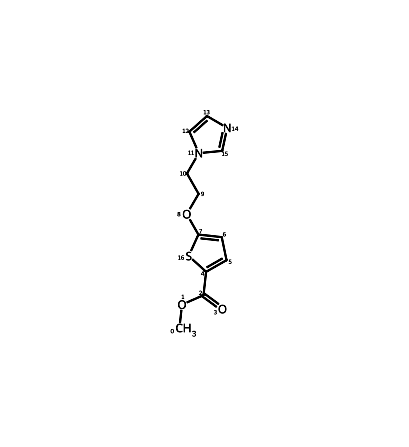 COC(=O)c1ccc(OCCn2ccnc2)s1